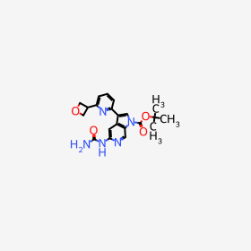 CC(C)(C)OC(=O)n1cc(-c2cccc(C3COC3)n2)c2cc(NC(N)=O)ncc21